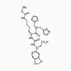 CC(C)(C)OC(=O)NCCCC[C@H](NC(=O)N[C@@H](CC(=O)O)c1ccc2c(c1)OCO2)C(=O)N(Cc1cccs1)Cc1cccs1